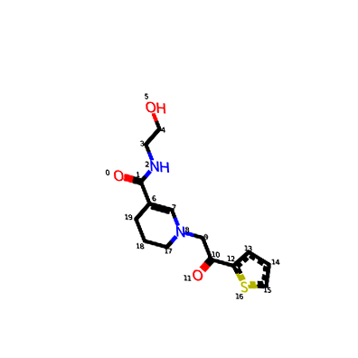 O=C(NCCO)C1=CN(CC(=O)c2cccs2)CCC1